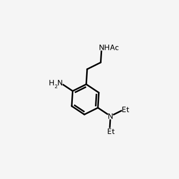 CCN(CC)c1ccc(N)c(CCNC(C)=O)c1